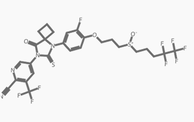 N#Cc1ncc(N2C(=O)C3(CCC3)N(c3ccc(OCCC[S+]([O-])CCCC(F)(F)C(F)(F)F)c(F)c3)C2=S)cc1C(F)(F)F